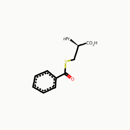 CCC[C@H](CSC(=O)c1ccccc1)C(=O)O